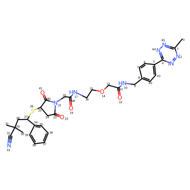 Cc1nnc(-c2ccc(CNC(=O)COCCNC(=O)CN3C(=O)CC(SC(CC(C)(C)C#N)c4ccccc4)C3=O)cc2)nn1